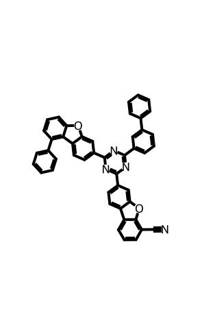 N#Cc1cccc2c1oc1cc(-c3nc(-c4cccc(-c5ccccc5)c4)nc(-c4ccc5c(c4)oc4cccc(-c6ccccc6)c45)n3)ccc12